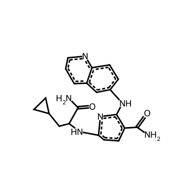 NC(=O)c1ccc(NC(CC2CC2)C(N)=O)nc1Nc1ccc2ncccc2c1